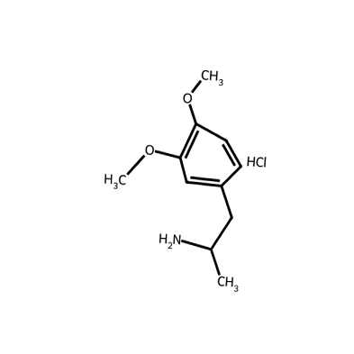 COc1ccc(CC(C)N)cc1OC.Cl